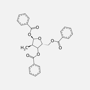 C[C@@H]1C(OC(=O)c2ccccc2)[C@@H](COC(=O)c2ccccc2)O[C@@H]1OC(=O)c1ccccc1